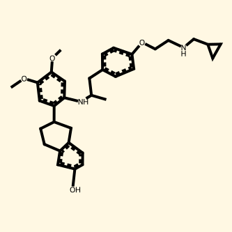 COc1cc(NC(C)Cc2ccc(OCCNCC3CC3)cc2)c(C2CCc3cc(O)ccc3C2)cc1OC